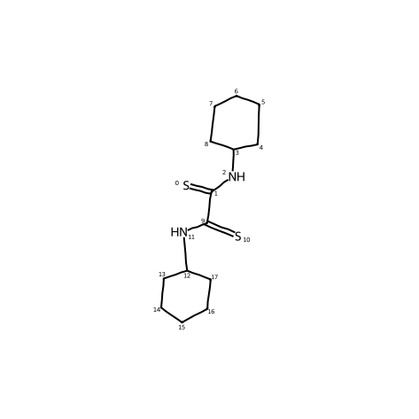 S=C(NC1CCCCC1)C(=S)NC1CCCCC1